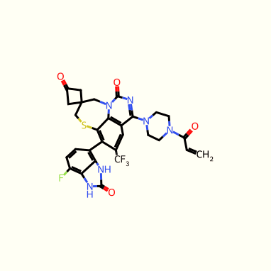 C=CC(=O)N1CCN(c2nc(=O)n3c4c(c(-c5ccc(F)c6[nH]c(=O)[nH]c56)c(C(F)(F)F)cc24)SCC2(CC(=O)C2)C3)CC1